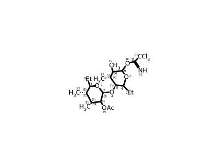 CCC1O[C@@H](O[C@@H]2C(CC)OC(OC(=N)C(Cl)(Cl)Cl)C(C)[C@H]2C)C(OC(C)=O)[C@@H](C)[C@@H]1C